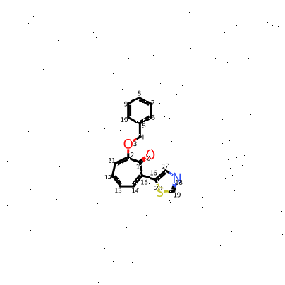 O=c1c(OCc2ccccc2)ccccc1-c1cncs1